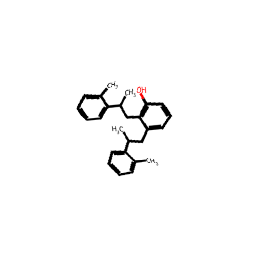 Cc1ccccc1C(C)Cc1cccc(O)c1CC(C)c1ccccc1C